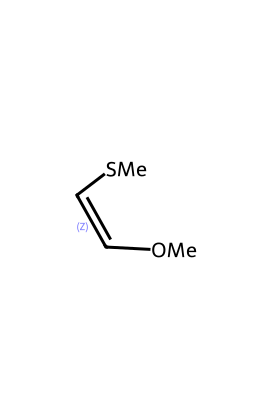 CO/C=C\SC